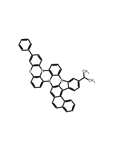 CC(C)c1ccc2c3c4c(ccc5ccccc54)cc4c3n(c2c1)-c1cccc2c1B4c1cccc3c1N2c1ccc(-c2ccccc2)cc1S3